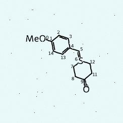 COc1ccc(C=S2CCC(=O)CC2)cc1